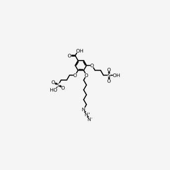 [N-]=[N+]=NCCCCCCOc1c(OCCCS(=O)(=O)O)cc(C(=O)O)cc1OCCCS(=O)(=O)O